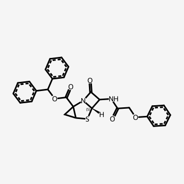 O=C(COc1ccccc1)NC1C(=O)N2[C@H]1SC1CC12C(=O)OC(c1ccccc1)c1ccccc1